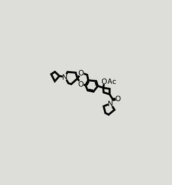 CC(=O)OC1(c2ccc3c(c2)COC2(CCN(C4CCC4)CC2)O3)CC(C(=O)N2CCCC2)C1